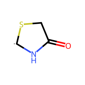 O=C1CS[CH]N1